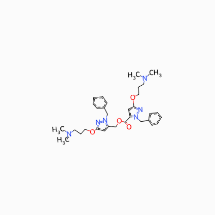 CN(C)CCCOc1cc(COC(=O)c2cc(OCCCN(C)C)nn2Cc2ccccc2)n(Cc2ccccc2)n1